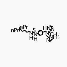 CCCN(CCC)CCCCNC(=S)Nc1ccc(CN(Cc2ncc[nH]2)C(C)c2ncc[nH]2)cc1